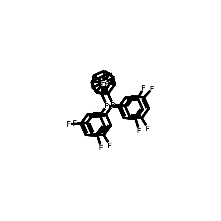 Fc1cc(F)cc(P(c2cc(F)cc(F)c2)[C]23[CH]4[CH]5[CH]6[CH]2[Fe]56432789[CH]3[CH]2[CH]7[C]8(P(c2cc(F)cc(F)c2)c2cc(F)cc(F)c2)[CH]39)c1